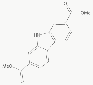 COC(=O)c1ccc2c(c1)[nH]c1cc(C(=O)OC)ccc12